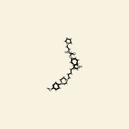 COc1ccc(N2CCN(CCCCc3c[nH]c4ccc(OC(=O)NCCN5CCCC5)cc34)CC2)cc1